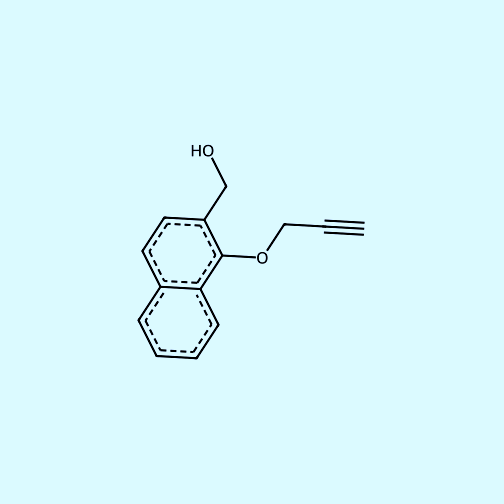 C#CCOc1c(CO)ccc2ccccc12